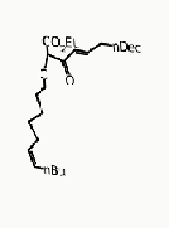 CCCC/C=C\CCCCCCC(C(=O)C=CCCCCCCCCCCC)C(=O)OCC